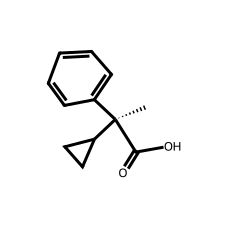 C[C@@](C(=O)O)(c1ccccc1)C1CC1